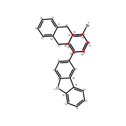 Brc1ccc(-c2ccc3oc4ccccc4c3c2)c2c1C1c3ccccc3C2c2ccccc21